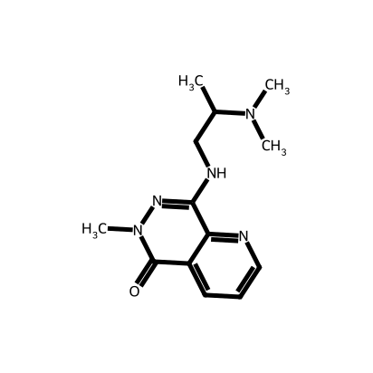 CC(CNc1nn(C)c(=O)c2cccnc12)N(C)C